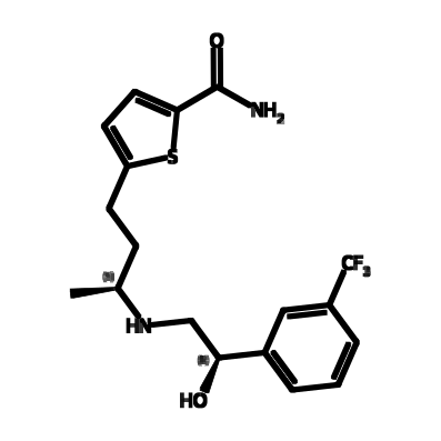 C[C@@H](CCc1ccc(C(N)=O)s1)NC[C@H](O)c1cccc(C(F)(F)F)c1